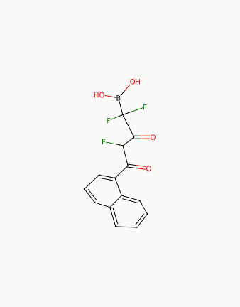 O=C(c1cccc2ccccc12)C(F)C(=O)C(F)(F)B(O)O